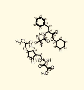 CC(C)OC1CNC(CN)C1.O=C(O)C(=O)O.O=C(OC1CCCCC1)[C@H](Cc1ccccc1)NC(=O)C(F)(F)F